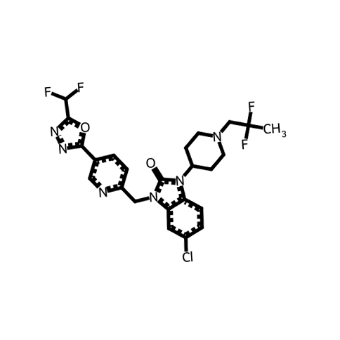 CC(F)(F)CN1CCC(n2c(=O)n(Cc3ccc(-c4nnc(C(F)F)o4)cn3)c3cc(Cl)ccc32)CC1